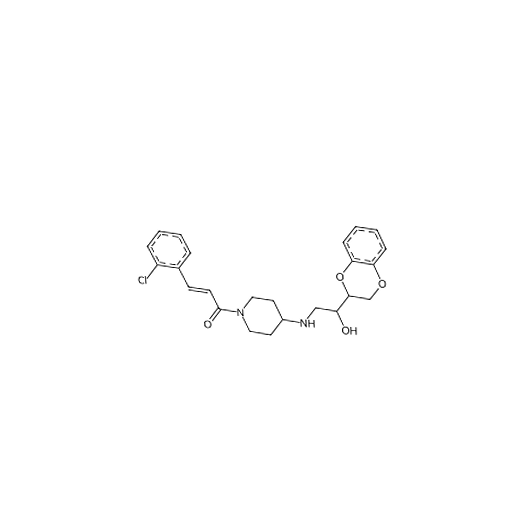 O=C(C=Cc1ccccc1Cl)N1CCC(NCC(O)C2COc3ccccc3O2)CC1